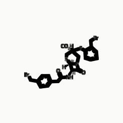 O=C(Cc1ccc(CBr)cc1)N[C@@H]1C(=O)N2CC(Sc3ccccc3CBr)(C(=O)O)CS[C@H]12